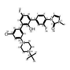 Cn1ccn(-c2ccc(-c3cc(F)cc(-c4cc(Cl)cc(N5CCN(C(C)(C)C)CC5)c4)c3O)cc2F)c1=O